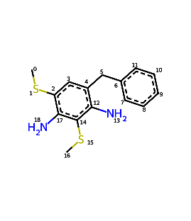 CSc1cc(Cc2ccccc2)c(N)c(SC)c1N